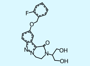 O=C1c2c3cc(OCc4ccccc4F)ccc3nn2CCN1C(CO)CO